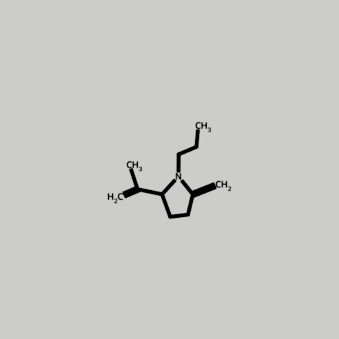 C=C(C)C1CCC(=C)N1CCC